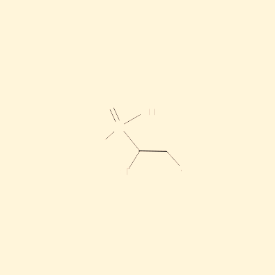 C[SH](C)(=O)C(Cl)CCl